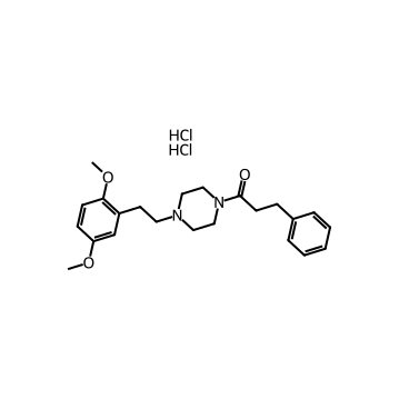 COc1ccc(OC)c(CCN2CCN(C(=O)CCc3ccccc3)CC2)c1.Cl.Cl